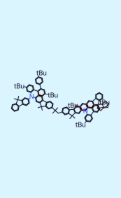 CC(C)(C)c1ccc(-c2cc(C(C)(C)C)ccc2-c2ccc(C(C)(C)C)cc2N(c2ccc3c(c2)C(C)(C)c2ccccc2-3)c2ccc3c(c2)C(C)(C)c2cc(C(C)(C)Cc4ccc5c(c4)C(C)(C)c4cc(N(c6ccc7c(c6)C6(c8ccccc8-7)C7CC8CC(C7)C6C8)c6cc(C(C)(C)C)ccc6-c6ccc(C(C)(C)C)cc6-c6ccc(C(C)(C)C)cc6)ccc4-5)ccc2-3)cc1